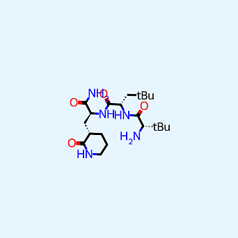 CC(C)(C)C[C@H](NC(=O)[C@@H](N)C(C)(C)C)C(=O)N[C@@H](C[C@@H]1CCCNC1=O)C(N)=O